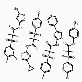 CC(C)(C(=O)Nc1ccc(C(F)(F)F)cc1)S(=O)(=O)c1ccc(Cl)cc1.CC(C)(C(=O)Nc1nc(-c2ccncc2)cs1)S(=O)(=O)c1ccc(Cl)cc1.CC(C)(C(=O)Nc1nc(C2CC2)cs1)S(=O)(=O)c1ccc(Cl)cc1.Cc1ccc(S(=O)(=O)C(C)(C)C(=O)Nc2cc(C(C)(C)C)on2)cc1F